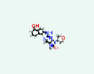 Cn1c(=O)n(C2CCOCC2)c2nc(Nc3ccc4c(O)cccc4c3)ncc21